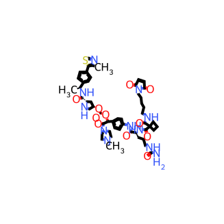 Cc1ncsc1-c1ccc([C@H](C)NC(=O)[C@@H]2C[C@@H](OC(=O)OC(C(=O)N3CCN(C)CC3)c3ccc(NC(=O)[C@H](CCCNC(N)=O)NC(=O)C4(C(=O)NCCCCCN5C(=O)C=CC5=O)CCC4)cc3)CN2)cc1